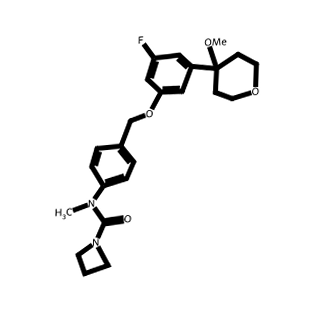 COC1(c2cc(F)cc(OCc3ccc(N(C)C(=O)N4CCC4)cc3)c2)CCOCC1